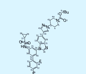 CC(C)(C)OC(=O)N1CCC(n2cc(-c3ccc4c(c3)ncn4-c3cc(NS(=O)(=O)C4CC4)cc(-c4ccc(F)cc4F)c3)cn2)CC1